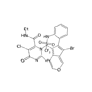 CCCc1nc(=O)c(Cl)c(C(=O)NCC)n1Cc1c2ccocc-2c(Br)c1-c1ccccc1NS(=O)(=O)C(F)(F)F